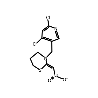 O=[N+]([O-])C=C1SCCCN1Cc1cnc(Cl)cc1Cl